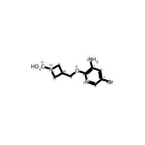 Nc1cc(Br)cnc1OCC1CN(C(=O)O)C1